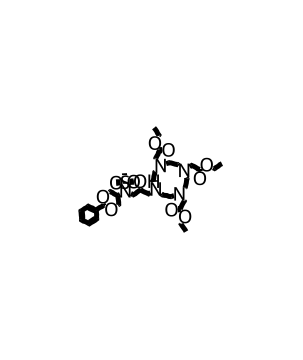 CCOC(=O)CN1CCN(CC(=O)OCC)CCN(CC(O)CN(C2COC(c3ccccc3)OC2)S(C)(=O)=O)CCN(CC(=O)OCC)CC1